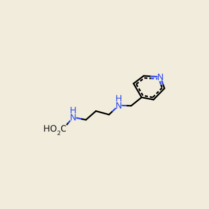 O=C(O)NCCCNCc1ccncc1